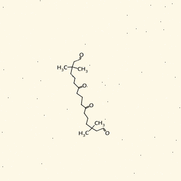 CC(C)(CC=O)CCCC(=O)CCCC(=O)CCCC(C)(C)CC=O